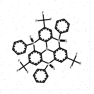 FC(F)(F)c1cc2c3c(c1)P(=S)(c1ccccc1)c1cc(C(F)(F)F)cc4c1N3c1c(cc(C(F)(F)F)cc1P4(=S)c1ccccc1)P2(=S)c1ccccc1